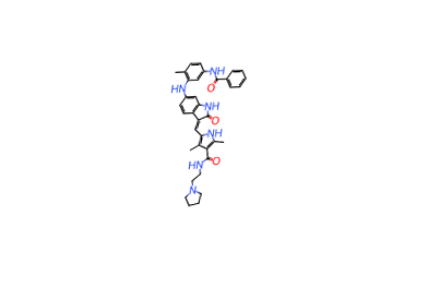 Cc1ccc(NC(=O)c2ccccc2)cc1Nc1ccc2c(c1)NC(=O)C2=Cc1[nH]c(C)c(C(=O)NCCN2CCCC2)c1C